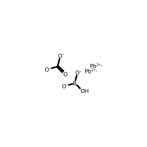 O=C([O-])[O-].[O-]B([O-])O.[Pb+2].[Pb+2]